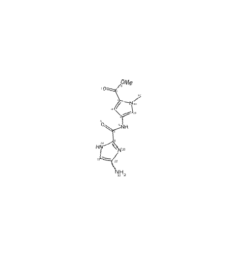 COC(=O)c1cc(NC(=O)c2nc(N)c[nH]2)cn1C